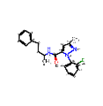 CC(CCc1ccccc1)NC(=O)c1cc(C(F)(F)F)nn1-c1ccccc1Cl